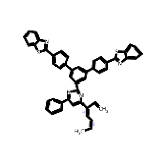 C=C/C(=C\C=C/C)c1cc(-c2ccccc2)nc(-c2cc(-c3ccc(-c4nc5ccccc5s4)cc3)cc(-c3ccc(-c4nc5ccccc5s4)cc3)c2)n1